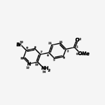 COC(=O)c1ccc(-c2cc(Br)cnc2N)cc1